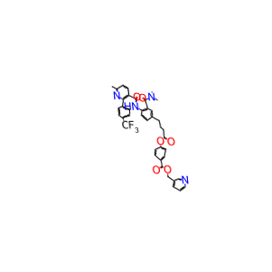 Cc1ccc(C(=O)Nc2ccc(CCCC(=O)Oc3ccc(C(=O)OCc4cccnc4)cc3)cc2C(=O)N(C)C)c(-c2ccc(C(F)(F)F)cc2)n1